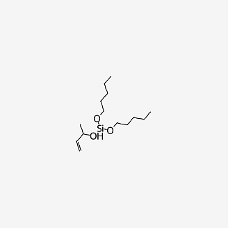 C=CC(C)O[SiH](OCCCCC)OCCCCC